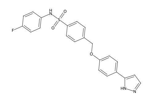 O=S(=O)(Nc1ccc(F)cc1)c1ccc(COc2ccc(-c3ccn[nH]3)cc2)cc1